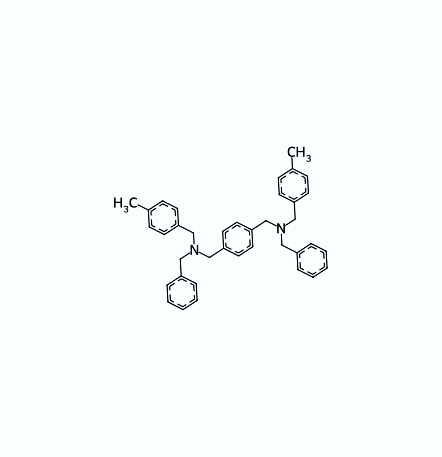 Cc1ccc(CN(Cc2ccccc2)Cc2ccc(CN(Cc3ccccc3)Cc3ccc(C)cc3)cc2)cc1